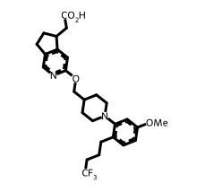 COc1ccc(CCCC(F)(F)F)c(N2CCC(COc3cc4c(cn3)CCC4CC(=O)O)CC2)c1